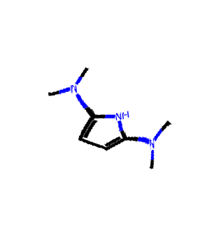 CN(C)c1ccc(N(C)C)[nH]1